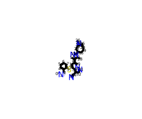 C/N=C\c1ccccc1Sc1cc(-c2cnn(C3CCC4CC(C3)N(C)C4)c2C)cn2ncc(C#N)c12